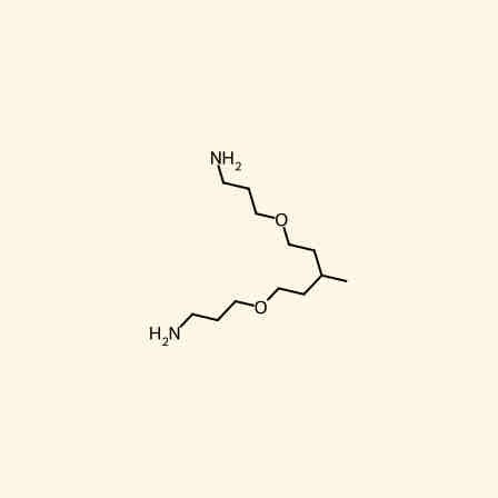 CC(CCOCCCN)CCOCCCN